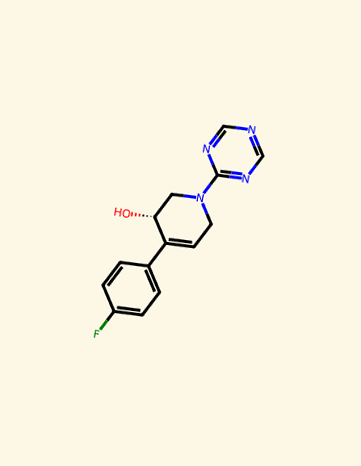 O[C@@H]1CN(c2ncncn2)CC=C1c1ccc(F)cc1